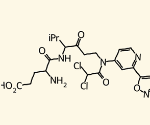 CC(C)C(NC(=O)C(N)CCC(=O)O)C(=O)CCN(C(=O)C(Cl)Cl)c1ccnc(-c2ccno2)c1